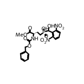 COC(=O)[C@H](CCP(=O)(O)C(O)c1c([N+](=O)[O-])cccc1[N+](=O)[O-])NC(=O)OCc1ccccc1